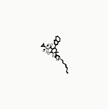 CCC/C=C/CCn1cc(C2(C)CC(c3ccc4c(c3)CCCC4)=C(C(=O)NS(=O)(=O)C3CC3)C(=O)N2)cn1